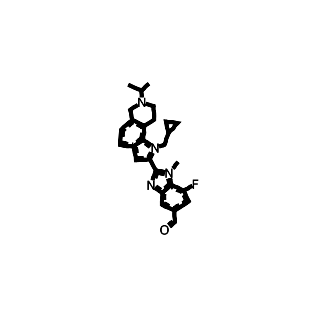 CC(C)N1CCc2c(ccc3cc(-c4nc5cc(C=O)cc(F)c5n4C)n(CC4CC4)c23)C1